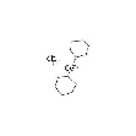 C1CC[CH]([Ge+2][CH]2CCCCC2)CC1.[Cl-].[Cl-]